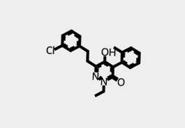 CCn1nc(CCc2cccc(Cl)c2)c(O)c(-c2ccccc2C)c1=O